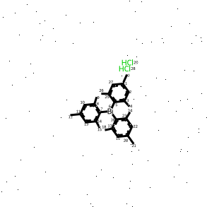 Cc1cc(C)[c]([Bi]([c]2c(C)cc(C)cc2C)[c]2c(C)cc(C)cc2C)c(C)c1.Cl.Cl